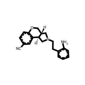 N#Cc1ccc2c(c1)[C@@H]1CN(CCc3ccccc3N)C[C@H]1CO2